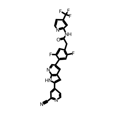 N#Cc1cc(-c2cc3cc(-c4cc(F)c(CC(=O)Nc5cc(C(F)(F)F)ccn5)cc4F)cnc3[nH]2)ccn1